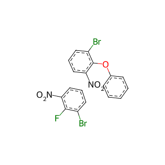 O=[N+]([O-])c1cccc(Br)c1F.O=[N+]([O-])c1cccc(Br)c1Oc1ccccc1